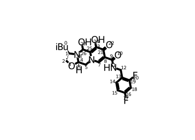 CC[C@H](C)[C@H]1CO[C@@H]2Cn3cc(C(=O)NCc4ccc(F)cc4F)c(=O)c(O)c3C(O)N12